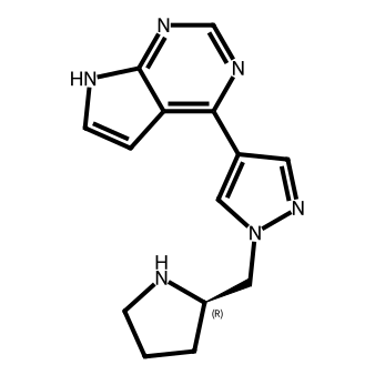 c1nc(-c2cnn(C[C@H]3CCCN3)c2)c2cc[nH]c2n1